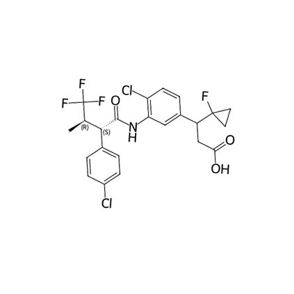 C[C@H]([C@H](C(=O)Nc1cc(C(CC(=O)O)C2(F)CC2)ccc1Cl)c1ccc(Cl)cc1)C(F)(F)F